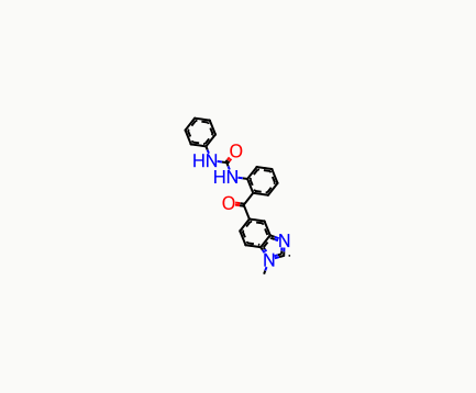 Cn1[c]nc2cc(C(=O)c3ccccc3NC(=O)Nc3ccccc3)ccc21